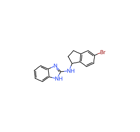 Brc1ccc2c(c1)CCC2Nc1nc2ccccc2[nH]1